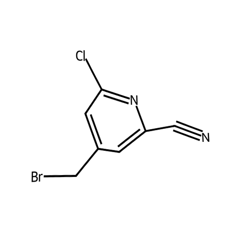 N#Cc1cc(CBr)cc(Cl)n1